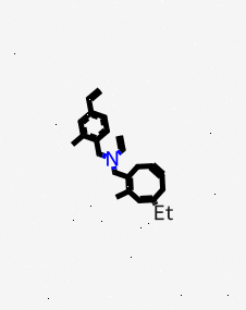 C=Cc1ccc(CN(C=C)C/C2=C(C)/C=C(/CC)CC#CC2)c(C)c1